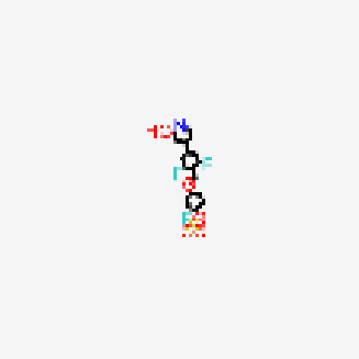 O=S(=O)(F)Oc1ccc(OCc2c(F)cc(-c3ccnc(O)c3)cc2F)cc1